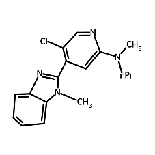 CCCN(C)c1cc(-c2nc3ccccc3n2C)c(Cl)cn1